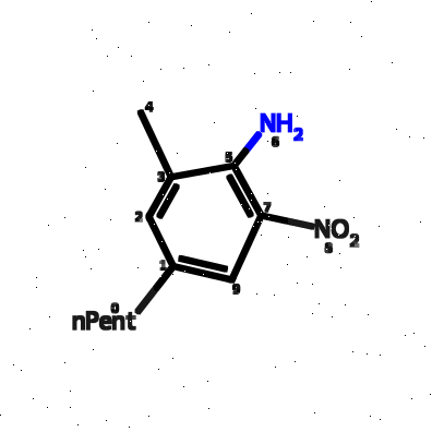 CCCCCc1cc(C)c(N)c([N+](=O)[O-])c1